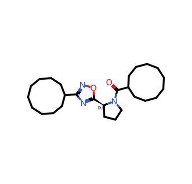 O=C(C1CCCCCCCCC1)N1CCC[C@H]1c1nc(C2CCCCCCCCC2)no1